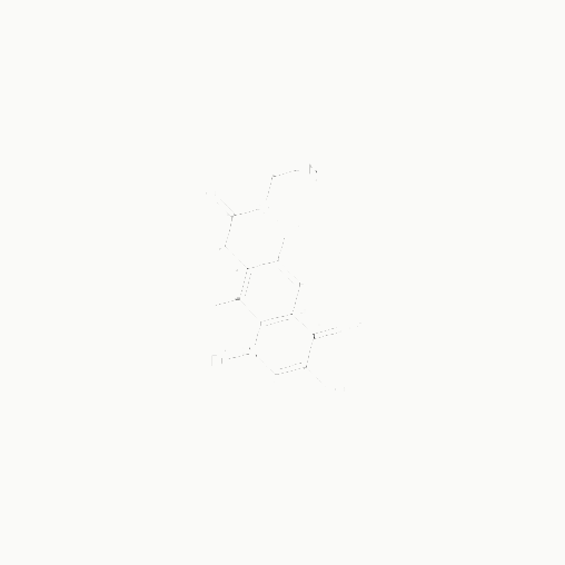 CCOC(=O)c1cn(CC)c2c(F)c(CC(=O)OCC#N)c(F)cc2c1=O